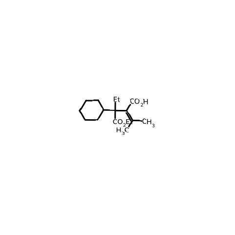 CCOC(=O)C(CC)(C(C(=O)O)=C(C)C)C1CCCCC1